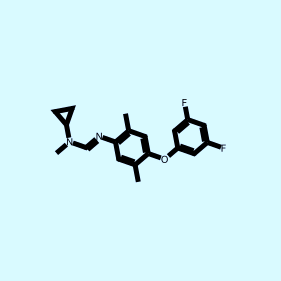 Cc1cc(Oc2cc(F)cc(F)c2)c(C)cc1N=CN(C)C1CC1